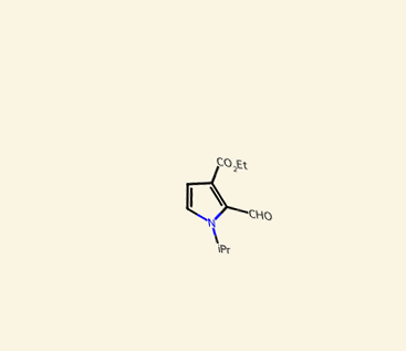 CCOC(=O)c1ccn(C(C)C)c1C=O